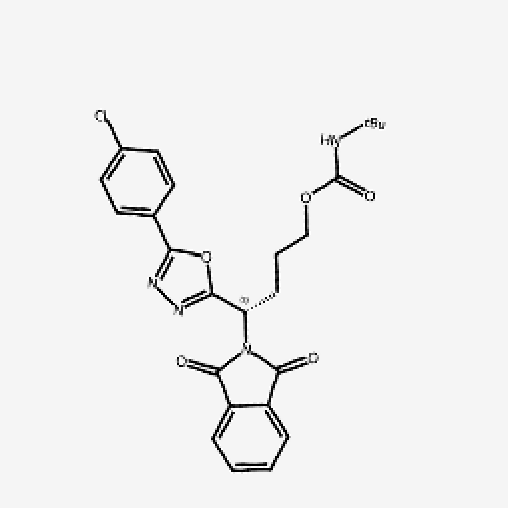 CC(C)(C)NC(=O)OCCC[C@@H](c1nnc(-c2ccc(Cl)cc2)o1)N1C(=O)c2ccccc2C1=O